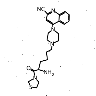 N#Cc1cc(N2CCN(CCCCC(N)C(=O)N3CCSC3)CC2)c2ccccc2n1